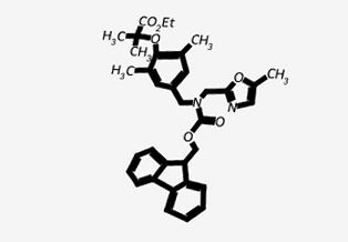 CCOC(=O)C(C)(C)Oc1c(C)cc(CN(Cc2ncc(C)o2)C(=O)OCC2c3ccccc3-c3ccccc32)cc1C